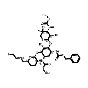 CN(C(=O)OC(C)(C)C)[C@@H]1[C@@H](O)[C@@H](O[C@@H]2[C@@H](O)[C@H](O[C@H]3O[C@H](CNCCF)CC[C@H]3N)[C@@H](NC(=O)OC(C)(C)C)C[C@H]2NC(=O)OCc2ccccc2)OC[C@]1(C)O